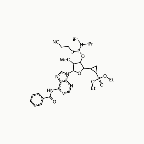 CCOP(=O)(OCC)C1CC1C1OC(n2cnc3c(NC(=O)c4ccccc4)ncnc32)C(OC)C1OP(OCCC#N)N(C(C)C)C(C)C